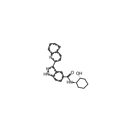 O=C(N[C@@H]1CCCC[C@H]1O)c1ccc2[nH]nc(-c3ccc4ccccc4n3)c2c1